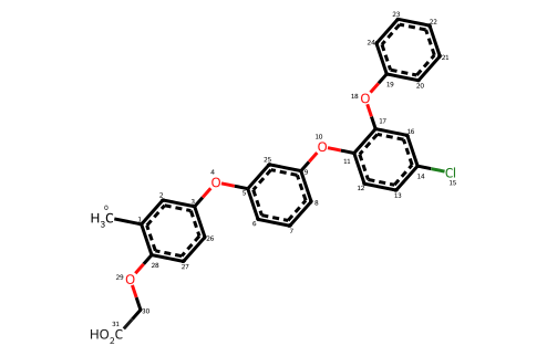 Cc1cc(Oc2cccc(Oc3ccc(Cl)cc3Oc3ccccc3)c2)ccc1OCC(=O)O